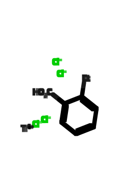 CCc1ccccc1C(=O)O.[Cl-].[Cl-].[Cl-].[Cl-].[Ti+4]